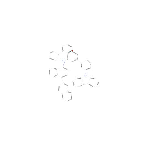 C1=CC(c2ccccc2)C(N(c2cccc(-c3cccc(-n4c5ccccc5c5ccccc54)c3)c2)c2ccc(-c3ccc4ccccc4c3)c3ccccc23)C=C1